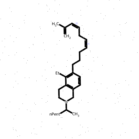 C=C(C)/C=C\C/C=C\CCCc1ccc2c(c1CC)CCN(C(C)CCCCC)C2